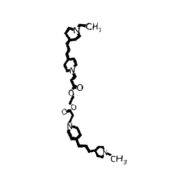 CCN1CCC(CCCC2CCN(CCC(=O)OCCOC(=O)CCN3CCC(CCCC4CCN(CC)CC4)CC3)CC2)CC1